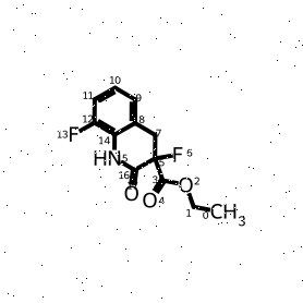 CCOC(=O)C1(F)Cc2cccc(F)c2NC1=O